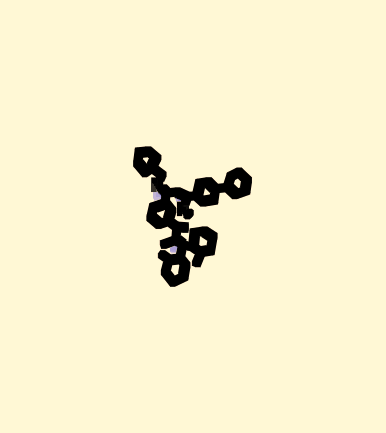 C=N/C(=C\C(=N/Cc1ccccc1)c1cccc(C(=C)/C(C)=C(/C2=C(C)CCC=C2)c2ccccc2C)c1)c1ccc(C2=CC=CCC2)cc1